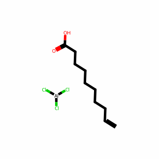 C=CCCCCCCCC(=O)O.[Cl][Al]([Cl])[Cl]